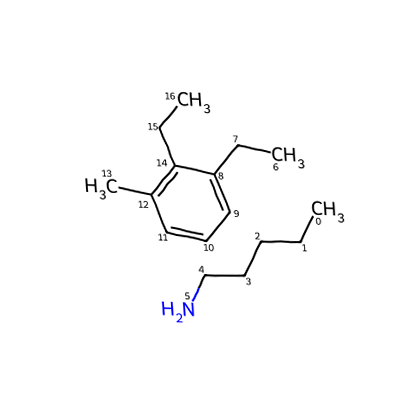 CCCCCN.CCc1cccc(C)c1CC